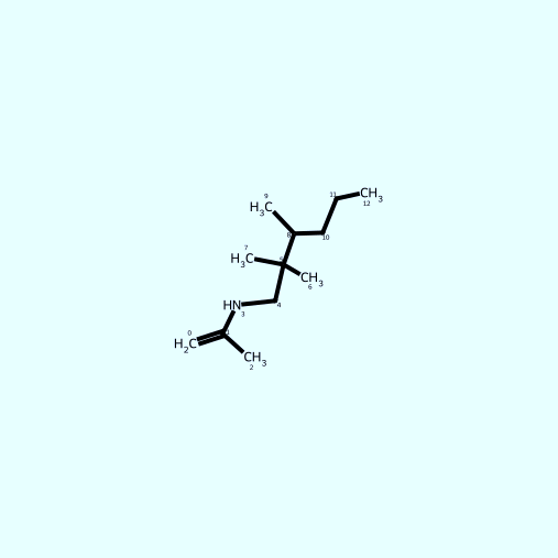 C=C(C)NCC(C)(C)C(C)CCC